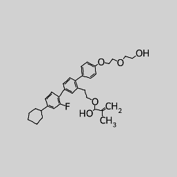 C=C(C)C(O)OCCc1cc(-c2ccc(C3CCCCC3)cc2F)ccc1-c1ccc(OCCOCCO)cc1